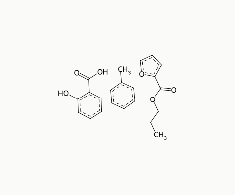 CCCOC(=O)c1ccco1.Cc1ccccc1.O=C(O)c1ccccc1O